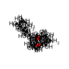 NCC(=O)N[C@@H](CO)C(=O)N[C@@H](CC(=O)O)C(=O)N[C@@H](CO)C(=O)N[C@@H](CC(N)=O)C(=O)N[C@@H](CC(=O)O)C(=O)NCC(=O)N[C@@H](CO)C(=O)NCC(=O)N[C@@H](CO)C(=O)N[C@@H](CC(=O)O)C(=O)N[C@@H](CO)C(=O)N[C@@H](CC(N)=O)C(=O)N[C@@H](CC(=O)O)C(=O)N[C@@H](CO)C(=O)N[C@@H](CC(=O)O)C(=O)N[C@@H](CO)C(=O)N[C@@H](CC(N)=O)C(=O)N[C@@H](CC(=O)O)C(=O)NCC(=O)N[C@@H](CO)C(=O)O